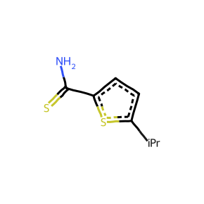 CC(C)c1ccc(C(N)=S)s1